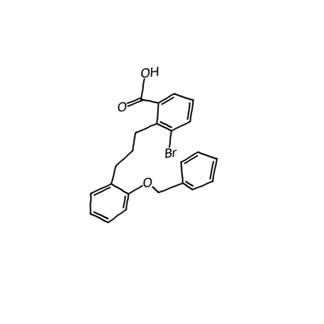 O=C(O)c1cccc(Br)c1CCCc1ccccc1OCc1ccccc1